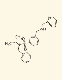 CC(C)N(Cc1ccccc1)S(=O)(=O)c1cccc(CNCc2ccccn2)c1